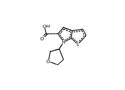 O=C(O)c1cc2ccsc2n1C1CCOC1